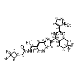 CC[C@H](NC(=O)CC1CC(F)(F)C1)c1cnn2cc([C@@H](NC(=O)c3ccnn3CC)C3CCC(F)(F)CC3)nc2c1